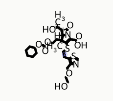 C[C@@H](O)[C@H]1C(=O)N2C(C(=O)O)=C(S/C=C\c3scnc3COCCO)C(C)(CCOC(=O)OC3CCCCC3)[C@H]12